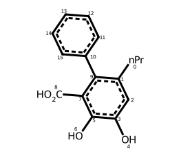 CCCc1cc(O)c(O)c(C(=O)O)c1-c1ccccc1